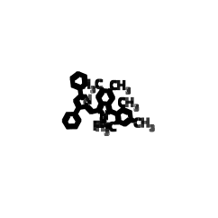 Cc1cc(C)c(-c2c3cc(C)c(C)cc3c(/C=C3\N=C(c4ccccc4)C=C3c3ccccc3)n2B(F)F)c(C)c1